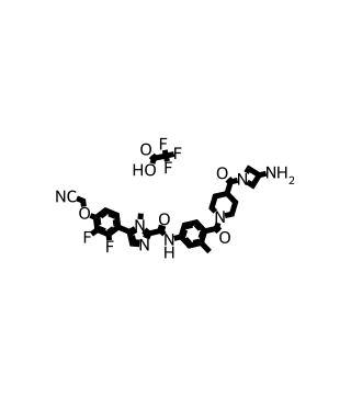 Cc1cc(NC(=O)c2ncc(-c3ccc(OCC#N)c(F)c3F)n2C)ccc1C(=O)N1CCC(C(=O)N2CC(N)C2)CC1.O=C(O)C(F)(F)F